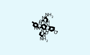 COc1ccc(NC2=C(n3ccc(N)nc3=O)C(=O)C(Nc3ccc(C)cc3)=C(n3ccc(N)nc3=O)C2=O)cc1